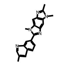 Cc1cnc2cc(-c3nc4cc5c(cc4n3C)nc(C)n5C)ccc2c1